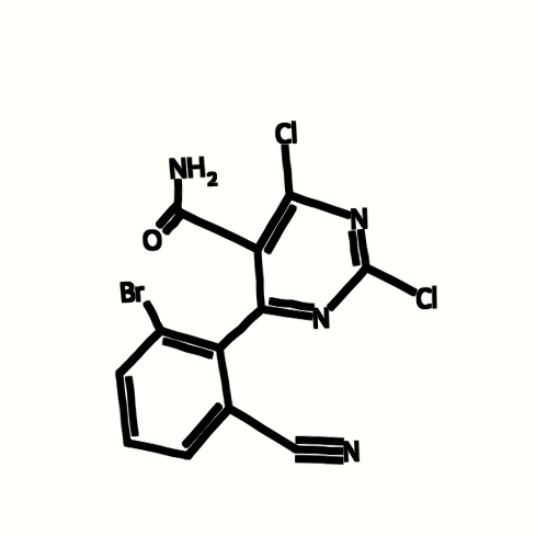 N#Cc1cccc(Br)c1-c1nc(Cl)nc(Cl)c1C(N)=O